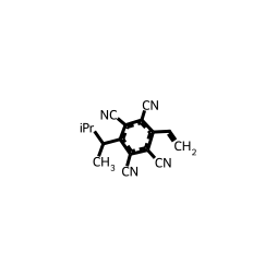 C=Cc1c(C#N)c(C#N)c(C(C)C(C)C)c(C#N)c1C#N